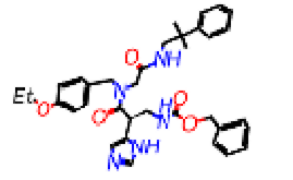 CCOc1ccc(CN(CC(=O)NCC(C)(C)c2ccccc2)C(=O)[C@@H](CNC(=O)OCc2ccccc2)c2cnc[nH]2)cc1